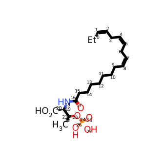 CC/C=C\C/C=C\C/C=C\CCCCCCCC(=O)N[C@H](C(=O)O)C(C)OP(=O)(O)O